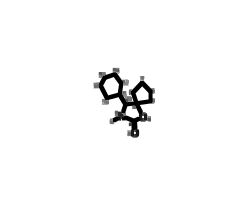 CN1C(=O)OC2(CCCC2)C1C1CCCCC1